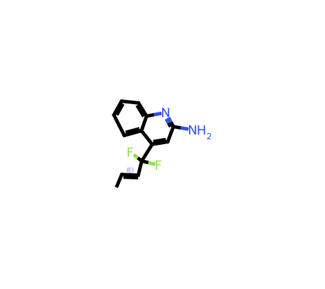 C/C=C/C(F)(F)c1cc(N)nc2ccccc12